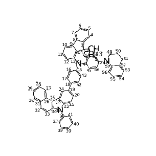 CC1(C)c2ccccc2-c2cccc(N(c3ccc(-c4ccc5c(c4)c4c6ccccc6ccc4n5-c4ccccc4)cc3)c3ccc(N4CCCc5ccccc54)cc3)c21